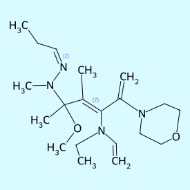 C=CN(CC)/C(C(=C)N1CCOCC1)=C(/C)C(C)(OC)N(C)/N=C\CC